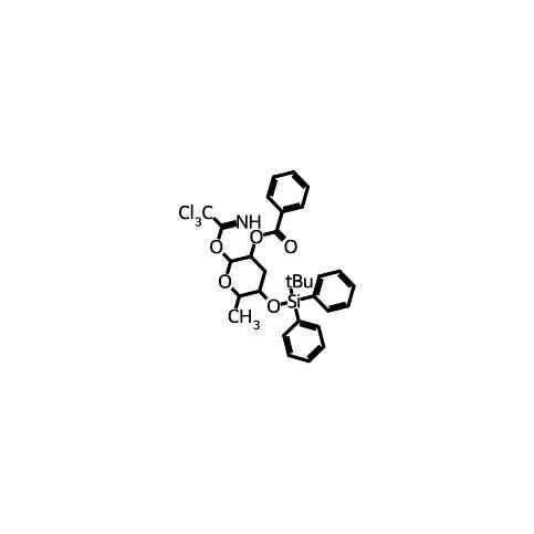 CC1OC(OC(=N)C(Cl)(Cl)Cl)C(OC(=O)c2ccccc2)CC1O[Si](c1ccccc1)(c1ccccc1)C(C)(C)C